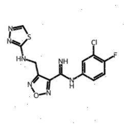 N=C(Nc1ccc(F)c(Cl)c1)c1nonc1CNc1nncs1